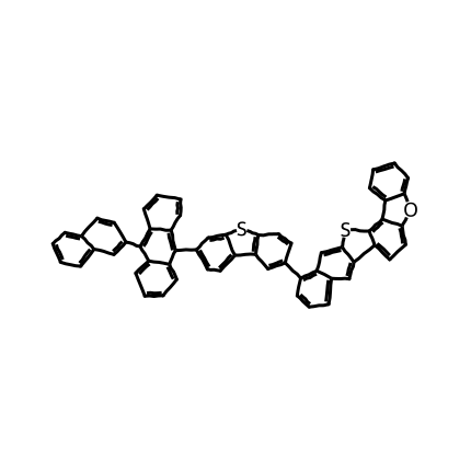 c1ccc2cc(-c3c4ccccc4c(-c4ccc5c(c4)sc4ccc(-c6cccc7cc8c(cc67)sc6c8ccc7oc8ccccc8c76)cc45)c4ccccc34)ccc2c1